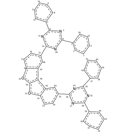 c1ccc(-c2nc(-c3ccccc3)nc(-c3ccc4oc5oc6ccc(-c7nc(-c8ccccc8)nc(-c8ccccc8)n7)cc6c5c4c3)n2)cc1